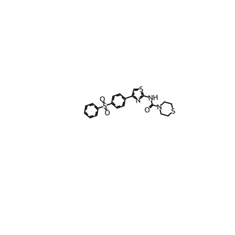 O=C(Nc1nc(-c2ccc(S(=O)(=O)c3ccccc3)cc2)cs1)N1CCSCC1